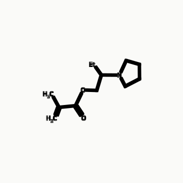 C=C(C)C(=O)OCC(CC)N1CCCC1